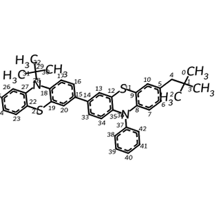 CC(C)(C)Cc1ccc2c(c1)Sc1cc(-c3ccc4c(c3)Sc3ccccc3N4C(C)(C)C)ccc1N2c1ccccc1